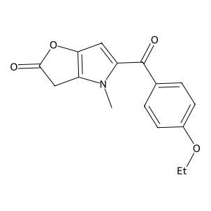 CCOc1ccc(C(=O)c2cc3c(n2C)CC(=O)O3)cc1